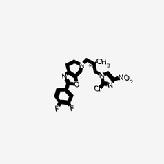 C[C@H](CN1CCc2nc(-c3ccc(F)c(F)c3)oc2C1)Cn1cc([N+](=O)[O-])nc1Cl